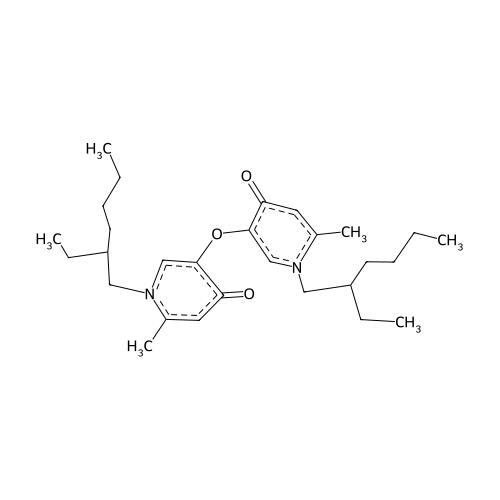 CCCCC(CC)Cn1cc(Oc2cn(CC(CC)CCCC)c(C)cc2=O)c(=O)cc1C